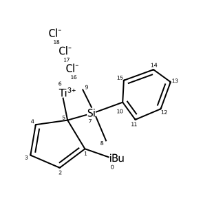 CCC(C)C1=CC=C[C]1([Ti+3])[Si](C)(C)c1ccccc1.[Cl-].[Cl-].[Cl-]